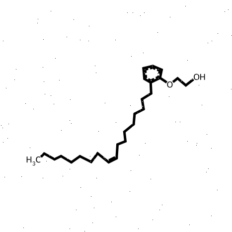 CCCCCCCC/C=C\CCCCCCCCc1ccccc1OCCO